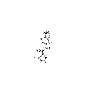 Cc1ccoc1C(=O)Nc1c[c]c(N)cc1